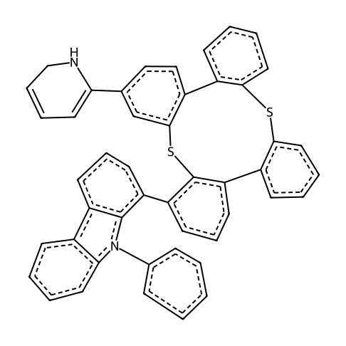 C1=CCNC(c2ccc3c(c2)Sc2c(cccc2-c2cccc4c5ccccc5n(-c5ccccc5)c24)-c2ccccc2Sc2ccccc2-3)=C1